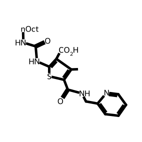 CCCCCCCCNC(=O)Nc1sc(C(=O)NCc2ccccn2)c(C)c1C(=O)O